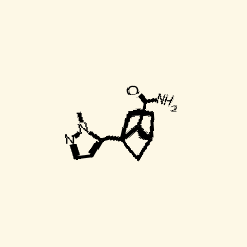 Cn1nccc1C12CCC(C1)C2C(N)=O